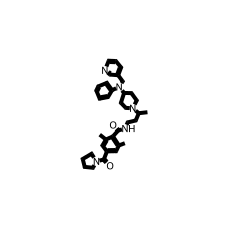 Cc1cc(C(=O)N2CCCC2)cc(C)c1C(=O)NCCC(C)N1CCC(N(Cc2cccnc2)c2ccccc2)CC1